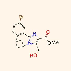 COC(=O)c1nc2n(c1CO)C1CC(C1)c1ccc(Br)cc1-2